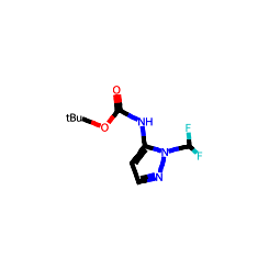 CC(C)(C)OC(=O)Nc1ccnn1C(F)F